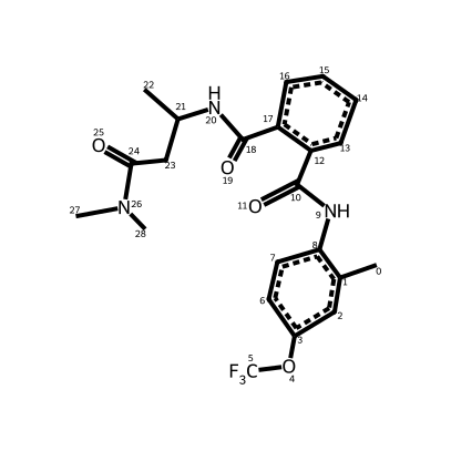 Cc1cc(OC(F)(F)F)ccc1NC(=O)c1ccccc1C(=O)NC(C)CC(=O)N(C)C